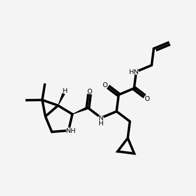 C=CCNC(=O)C(=O)C(CC1CC1)NC(=O)[C@H]1NCC2[C@@H]1C2(C)C